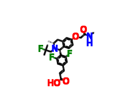 CNC(=O)COc1ccc2c(c1)C[C@@H](C)N(CC(C)(C)F)[C@@H]2c1c(F)cc(/C=C/C(=O)O)cc1F